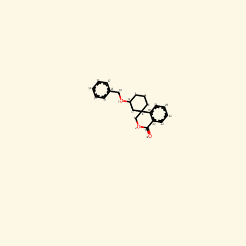 O=C1OCC2(CCCC(OCc3ccccc3)C2)c2ccccc21